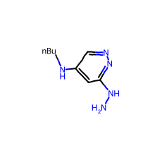 CCCCNc1cnnc(NN)c1